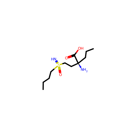 CCCCS(=N)(=O)CC[C@@](N)(CCC)C(=O)O